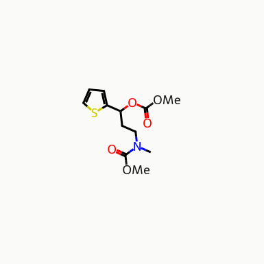 COC(=O)OC(CCN(C)C(=O)OC)c1cccs1